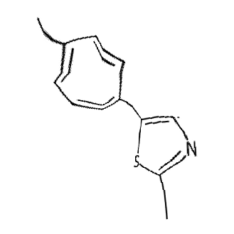 Cc1ccc(-c2[c]nc(C)s2)cc1